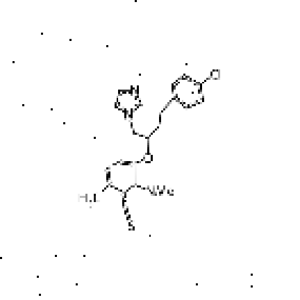 CNC1C(=C=S)C(C)=CC=C1OC(CCc1ccc(Cl)cc1)Cn1ccnc1